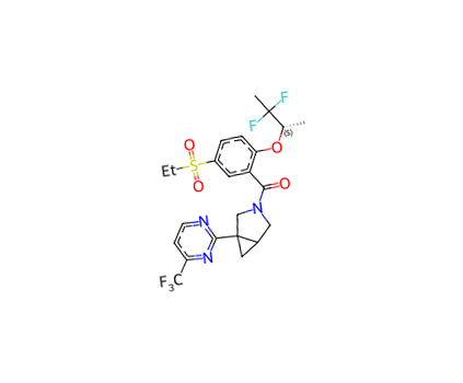 CCS(=O)(=O)c1ccc(O[C@@H](C)C(C)(F)F)c(C(=O)N2CC3CC3(c3nccc(C(F)(F)F)n3)C2)c1